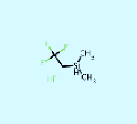 C[SiH](C)CC(F)(F)F.F